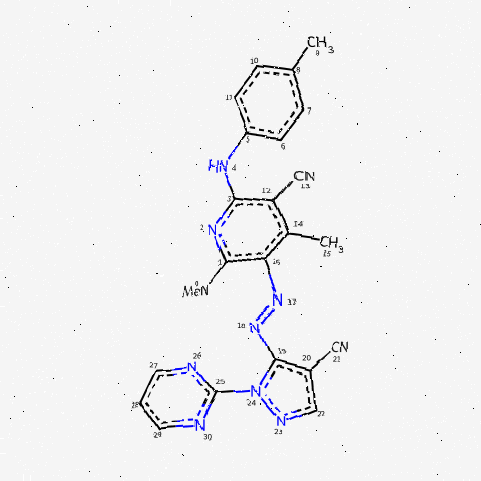 CNc1nc(Nc2ccc(C)cc2)c(C#N)c(C)c1/N=N/c1c(C#N)cnn1-c1ncccn1